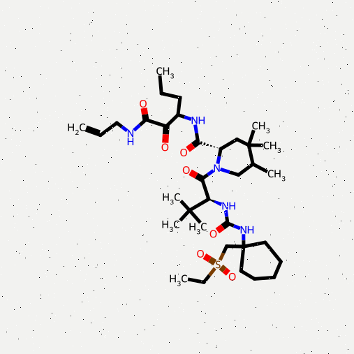 C=CCNC(=O)C(=O)C(CCC)NC(=O)[C@@H]1CC(C)(C)C(C)CN1C(=O)[C@@H](NC(=O)NC1(CS(=O)(=O)CC)CCCCC1)C(C)(C)C